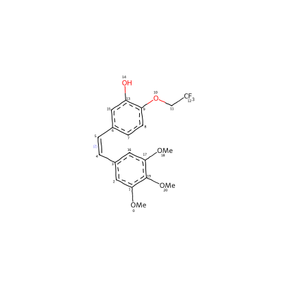 COc1cc(/C=C\c2ccc(OCC(F)(F)F)c(O)c2)cc(OC)c1OC